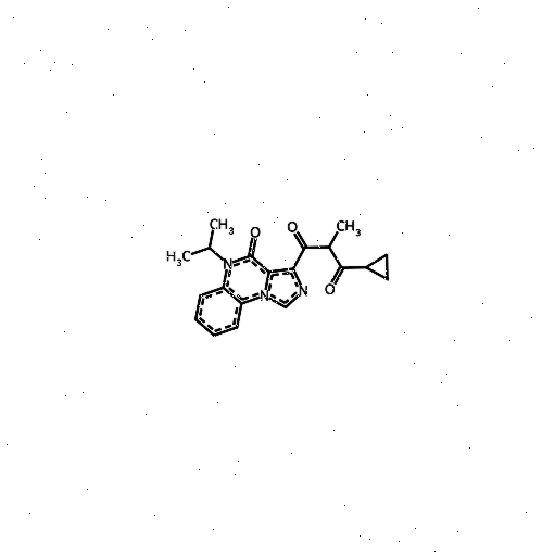 CC(C(=O)c1ncn2c1c(=O)n(C(C)C)c1ccccc12)C(=O)C1CC1